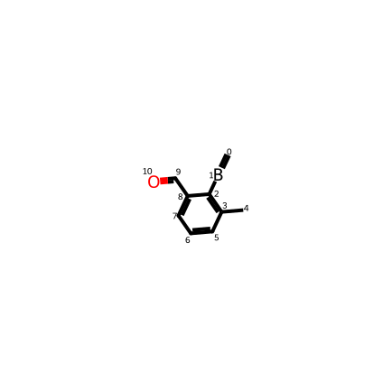 C=Bc1c(C)cccc1C=O